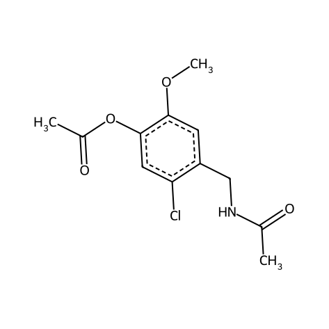 COc1cc(CNC(C)=O)c(Cl)cc1OC(C)=O